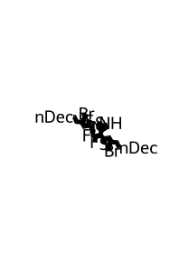 CCCCCCCCCCCCc1cc(C2=C(F)C(F)=C(c3cc(CCCCCCCCCCCC)c(Br)s3)N3SNC=C23)sc1Br